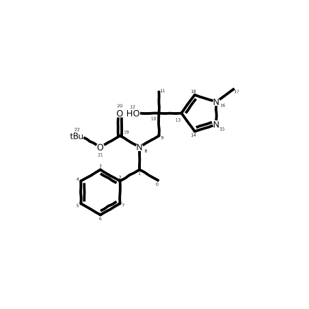 CC(c1ccccc1)N(CC(C)(O)c1cnn(C)c1)C(=O)OC(C)(C)C